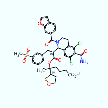 CC(CCCC(=O)O)(OC(=O)[C@@H](Cc1cccc(S(C)(=O)=O)c1)C1c2cc(Cl)c(C(N)=O)c(Cl)c2CCN1C(=O)c1ccc2ccoc2c1)[C@H]1CCOS1